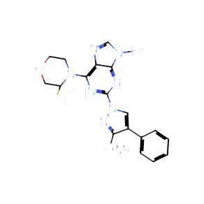 CCn1cnc2c(N3CCOC[C@]3(C)S)nc(-n3cc(-c4ccccc4)c(OC)n3)nc21